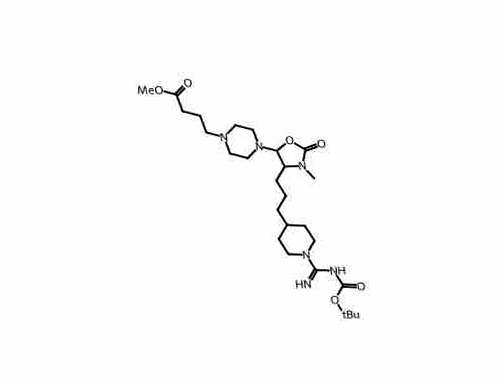 COC(=O)CCCN1CCN(C2OC(=O)N(C)C2CCCC2CCN(C(=N)NC(=O)OC(C)(C)C)CC2)CC1